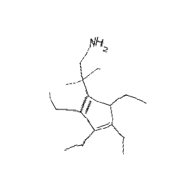 CCC1=C(CC)C(CC)C(C(C)(C)CN)=C1CC